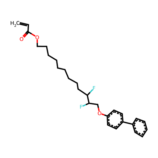 C=CC(=O)OCCCCCCCCCC(F)C(F)COc1ccc(-c2ccccc2)cc1